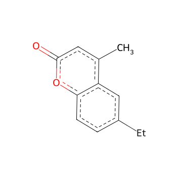 CCc1ccc2oc(=O)cc(C)c2c1